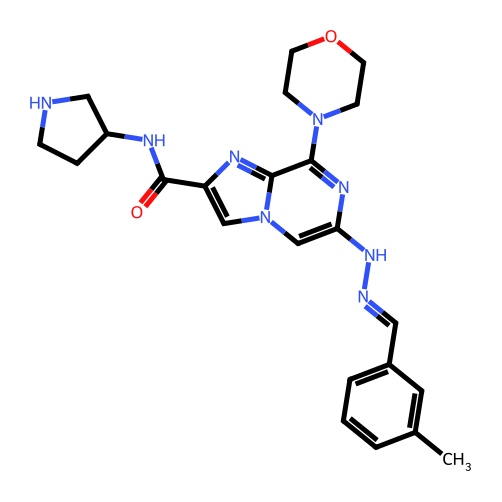 Cc1cccc(/C=N/Nc2cn3cc(C(=O)NC4CCNC4)nc3c(N3CCOCC3)n2)c1